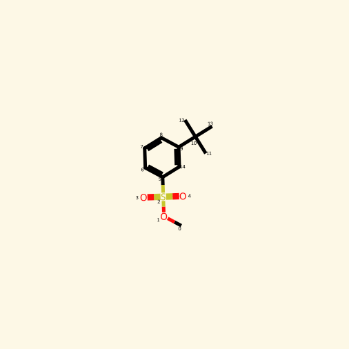 COS(=O)(=O)c1cccc(C(C)(C)C)c1